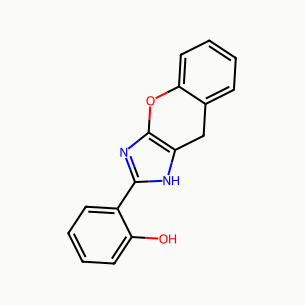 Oc1ccccc1-c1nc2c([nH]1)Cc1ccccc1O2